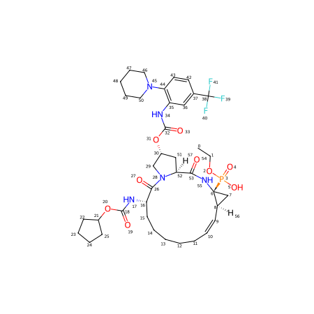 CCOP(=O)(O)[C@@]12C[C@H]1/C=C\CCCCC[C@H](NC(=O)OC1CCCC1)C(=O)N1C[C@H](OC(=O)Nc3cc(C(F)(F)F)ccc3N3CCCCC3)C[C@H]1C(=O)N2